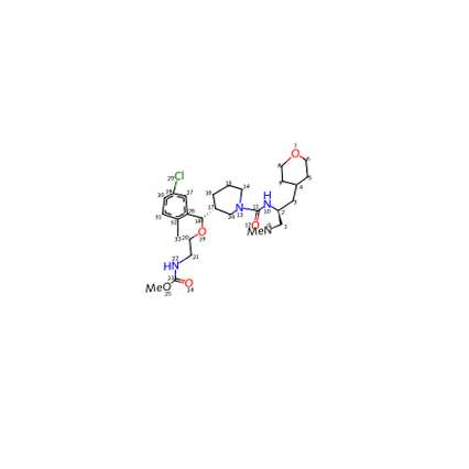 CNC[C@H](CC1CCOCC1)NC(=O)N1CCC[C@@H](C(OCCNC(=O)OC)c2cc(Cl)ccc2C)C1